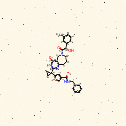 O=C(NCc1ccccc1)c1csc(C2(c3nc4c(c(=O)[nH]3)CN(C(=O)[C@H](O)c3cccc(C(F)(F)F)c3)CCC4)CC2)c1